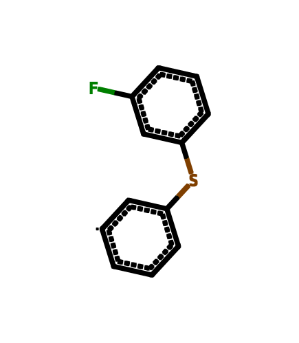 Fc1cccc(Sc2c[c]ccc2)c1